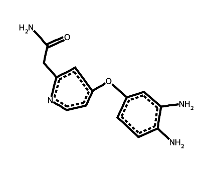 NC(=O)Cc1cc(Oc2ccc(N)c(N)c2)ccn1